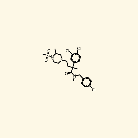 CC1CN(CCC(C)(C(=O)N(C)Cc2ccc(Cl)cc2)c2ccc(Cl)c(Cl)c2)CCN1S(C)(=O)=O